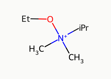 CCO[N+](C)(C)C(C)C